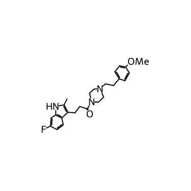 COc1ccc(CCN2CCN(C(=O)CCc3c(C)[nH]c4cc(F)ccc34)CC2)cc1